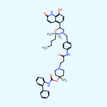 CCCC[Si](C)(C)OC(CNCc1ccc(NC(=O)CCN2CCC(C)(OC(=O)Nc3ccccc3-c3ccccc3)CC2)cc1)c1ccc(O)c2[nH]c(=O)ccc12